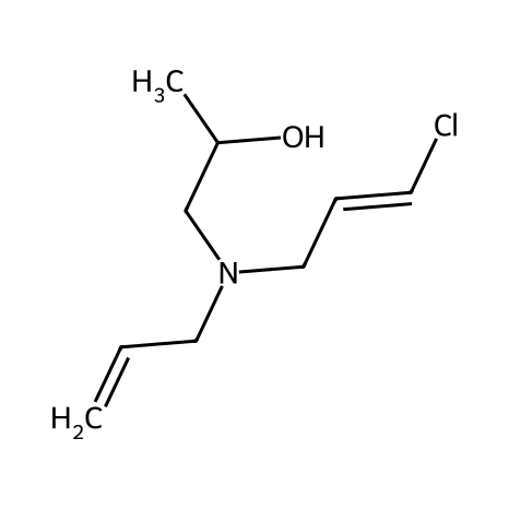 C=CCN(CC=CCl)CC(C)O